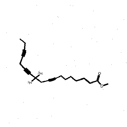 [2H]C([2H])(C#CCC#CCC)CC#CCCCCCCC(=O)OC